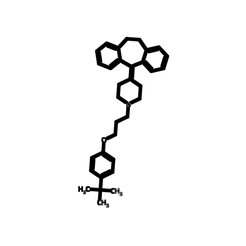 CC(C)(C)c1ccc(OCCCN2CCC(=C3c4ccccc4CCc4ccccc43)CC2)cc1